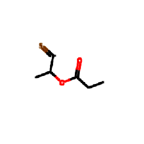 CCC(=O)OC(C)[C]=S